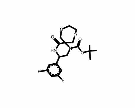 CC(C)(C)OC(=O)N1CC(c2cc(F)cc(F)c2)NC(=O)C12COCCOC2